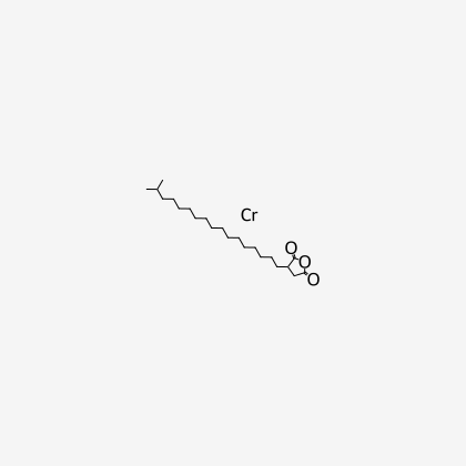 CC(C)CCCCCCCCCCCCCCCC1CC(=O)OC1=O.[Cr]